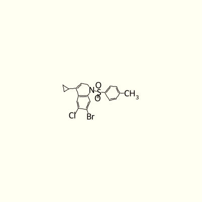 Cc1ccc(S(=O)(=O)N2CC=C(C3CC3)c3cc(Cl)c(Br)cc32)cc1